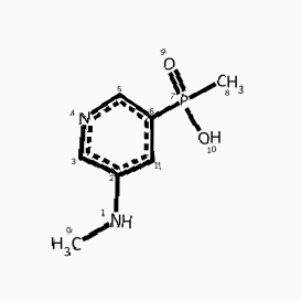 CNc1cncc(P(C)(=O)O)c1